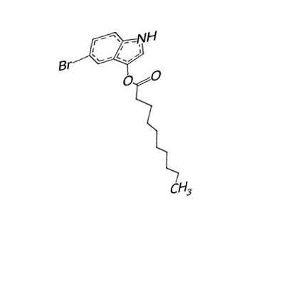 CCCCCCCCCC(=O)Oc1c[nH]c2ccc(Br)cc12